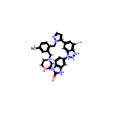 N#Cc1ccc(Cn2nccc2-c2cc(F)c3nnn(-c4ccc5[nH]c(=O)[nH]c5c4)c3c2)c(CN2CCOCC2)c1